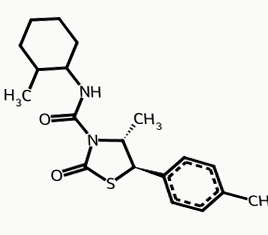 Cc1ccc([C@H]2SC(=O)N(C(=O)NC3CCCCC3C)[C@@H]2C)cc1